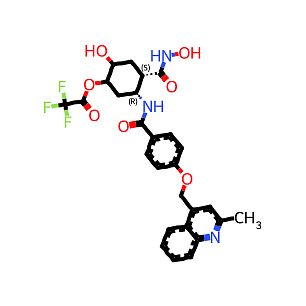 Cc1cc(COc2ccc(C(=O)N[C@@H]3CC(OC(=O)C(F)(F)F)C(O)C[C@@H]3C(=O)NO)cc2)c2ccccc2n1